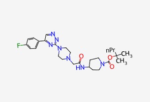 CCCC(C)(C)OC(=O)N1CCC(NC(=O)CN2CCN(c3nncc(-c4ccc(F)cc4)n3)CC2)CC1